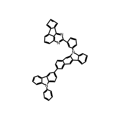 c1ccc(-n2c3ccccc3c3cc(-c4ccc5cc6c(cc5c4)c4ccccc4n6-c4cccc(-c5nc6c7c(cccc7n5)-c5ccccc5-6)c4)ccc32)cc1